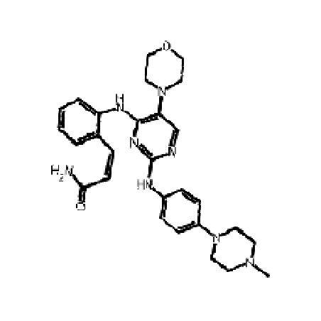 CN1CCN(c2ccc(Nc3ncc(N4CCOCC4)c(Nc4ccccc4C=CC(N)=O)n3)cc2)CC1